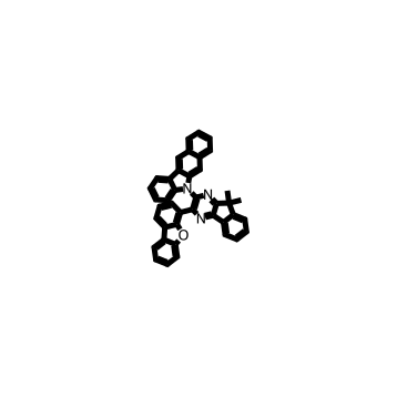 CC1(C)c2ccccc2-c2nc(-c3cccc4c3oc3ccccc34)c(-n3c4ccccc4c4cc5ccccc5cc43)nc21